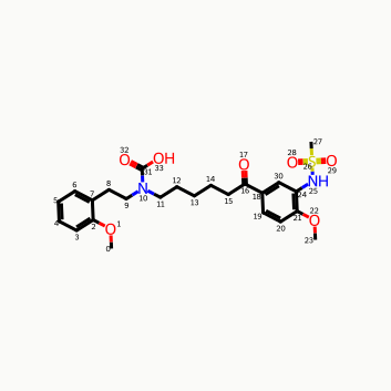 COc1ccccc1CCN(CCCCCC(=O)c1ccc(OC)c(NS(C)(=O)=O)c1)C(=O)O